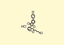 Cl.O=CCCCC(=O)Cc1ncccc1N1C(=O)c2ccc(N3CCNCC3)cc2C1=O